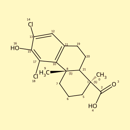 C[C@]1(C(=O)O)CCC[C@]2(C)c3c(cc(Cl)c(O)c3Cl)CCC12